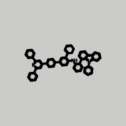 C1=CCCC(c2cc(-c3ccc(-c4cc(-c5ccccc5)nc(-c5ccccc5)c4)cc3)ccc2Nc2ccccc2-c2cccc3c4ccccc4n(-c4ccccc4)c23)=C1